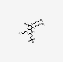 C=CCO[C@H]1OC(C)[C@H](OCCCC)C(OCCCC)C1NC(=O)OCC(Cl)(Cl)Cl